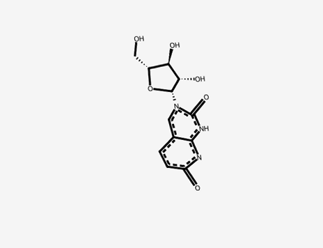 O=c1ccc2cn([C@@H]3O[C@H](CO)[C@@H](O)[C@@H]3O)c(=O)[nH]c-2n1